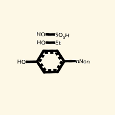 CCCCCCCCCc1ccc(O)cc1.CCO.O=S(=O)(O)O